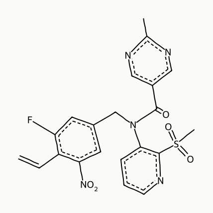 C=Cc1c(F)cc(CN(C(=O)c2cnc(C)nc2)c2cccnc2S(C)(=O)=O)cc1[N+](=O)[O-]